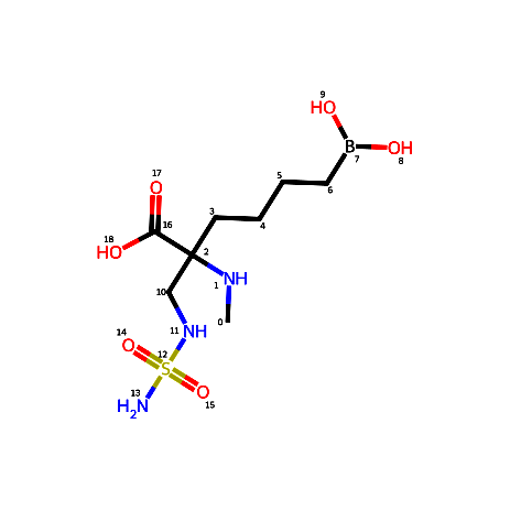 CNC(CCCCB(O)O)(CNS(N)(=O)=O)C(=O)O